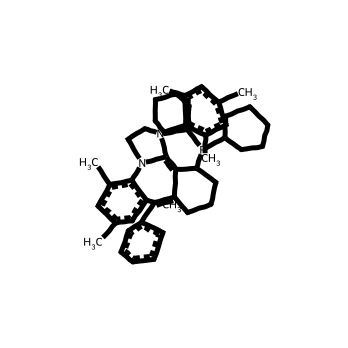 Cc1cc(C)c(N2CCN(c3c(C)cc(C)cc3C)C2=C2C(=Cc3ccccc3)CCCC2P(C2CCCCC2)C2CCCCC2)c(C)c1